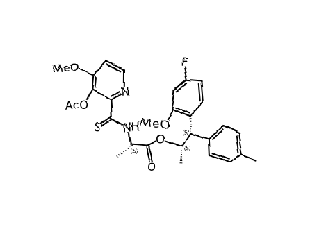 COc1cc(F)ccc1[C@H](c1ccc(C)cc1)[C@H](C)OC(=O)[C@H](C)NC(=S)c1nccc(OC)c1OC(C)=O